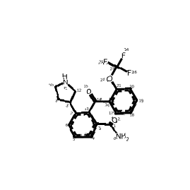 NC(=O)c1cccc(C2CCNC2)c1C(=O)c1ccccc1OC(F)(F)F